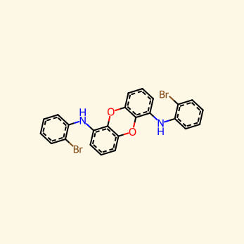 Brc1ccccc1Nc1cccc2c1Oc1cccc(Nc3ccccc3Br)c1O2